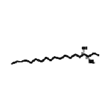 CCCCCCCCCCCCCCC[C@H](O)[C@@H](N)CC